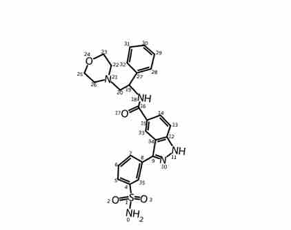 NS(=O)(=O)c1cccc(-c2n[nH]c3ccc(C(=O)NC(CN4CCOCC4)c4ccccc4)cc23)c1